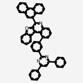 c1ccc(-c2cc(-c3ccccc3)nc(-c3cccc(-c4cccc5nc(-c6cc7ccccc7c7ccccc67)c6oc7ccccc7c6c45)c3)n2)cc1